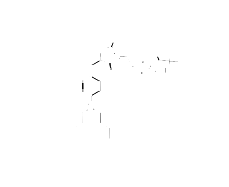 CCCCCN(CCCCC)c1ccc(C=C2SC(=S)N(CCS(=O)(=O)NC(=O)C(F)(F)F)C2=O)cc1